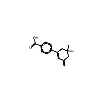 C=C1C=C(c2ccc(C(=O)O)cc2)CC(C)(C)C1